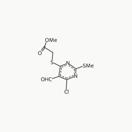 COC(=O)CSc1nc(SC)nc(Cl)c1C=O